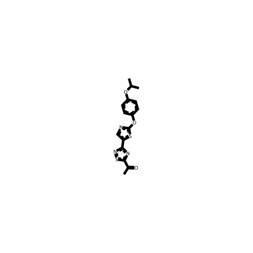 CC(=O)c1nc(-c2cnc(Oc3ccc(OC(C)C)cc3)s2)ns1